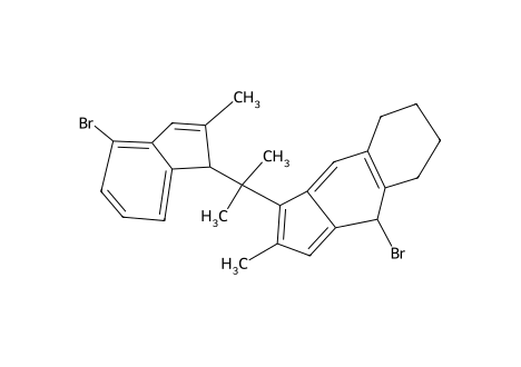 CC1=Cc2c(Br)cccc2C1C(C)(C)C1=C(C)C=C2C1=CC1=C(CCCC1)C2Br